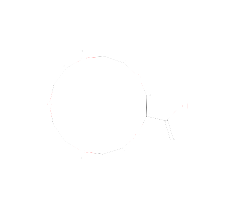 C=C(O)C1COCCOCCOCCOCCO1